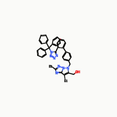 CCc1nc2c(CC)c(CO)n(Cc3ccc(-c4ccccc4-c4nnnn4C(c4ccccc4)(c4ccccc4)c4ccccc4)cc3)n2n1